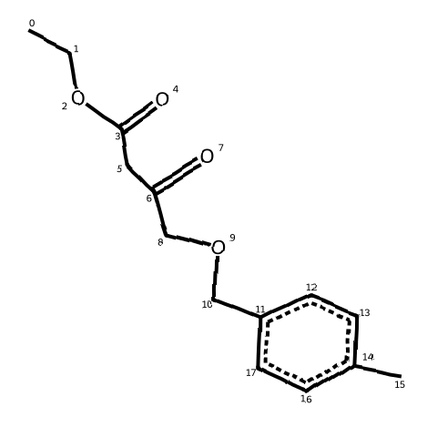 CCOC(=O)CC(=O)COCc1ccc(C)cc1